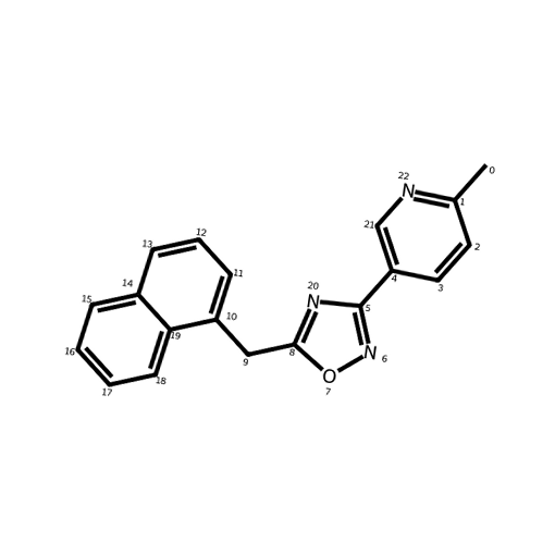 Cc1ccc(-c2noc(Cc3cccc4ccccc34)n2)cn1